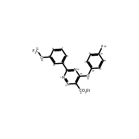 CCOC(=O)c1nnc(-c2cccc(OC(F)(F)F)c2)nc1Oc1ccc(F)cc1